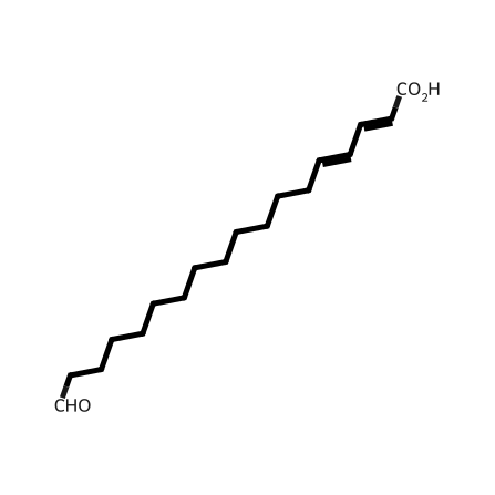 O=CCCCCCCCCCCCCC=CC=CC(=O)O